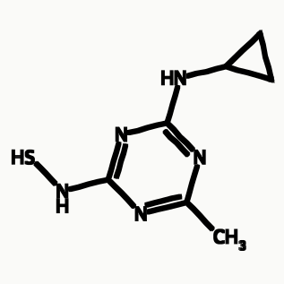 Cc1nc(NS)nc(NC2CC2)n1